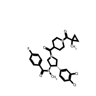 CN(C(=O)c1ccc(F)cc1)[C@H]1CN(C(=O)C2CCN(C(=O)C3(C)CC3)CC2)C[C@@H]1c1ccc(Cl)c(Cl)c1